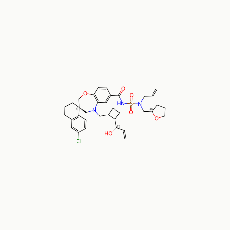 C=CCN(C[C@H]1CCCO1)S(=O)(=O)NC(=O)c1ccc2c(c1)N(CC1CCC1[C@@H](O)C=C)C[C@@]1(CCCc3cc(Cl)ccc31)CO2